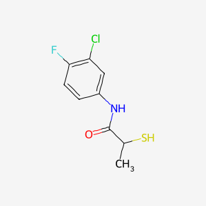 CC(S)C(=O)Nc1ccc(F)c(Cl)c1